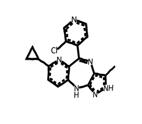 Cc1[nH]nc2c1N=C(c1ccncc1Cl)c1nc(C3CC3)ccc1N2